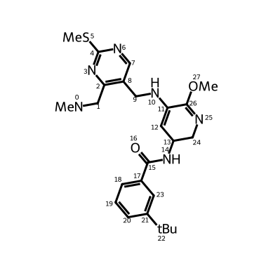 CNCc1nc(SC)ncc1CNC1=CC(NC(=O)c2cccc(C(C)(C)C)c2)CN=C1OC